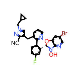 N#Cc1nn(CC2CC2)cc1Cc1cccnc1-c1ccc(F)cc1[C@@H]1Oc2cc(Br)cnc2N1O